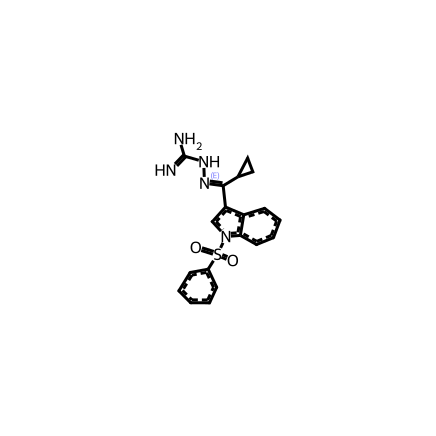 N=C(N)N/N=C(/c1cn(S(=O)(=O)c2ccccc2)c2ccccc12)C1CC1